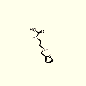 O=C(O)NCCNCc1cccs1